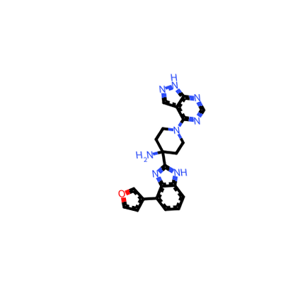 NC1(c2nc3c(-c4ccoc4)cccc3[nH]2)CCN(c2ncnc3[nH]ncc23)CC1